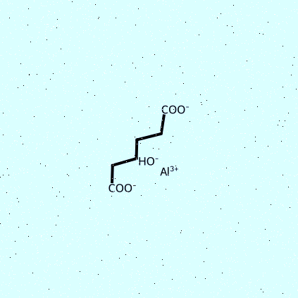 O=C([O-])CCCCC(=O)[O-].[Al+3].[OH-]